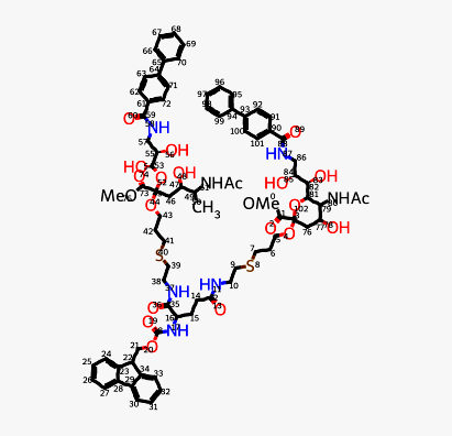 COC(=O)C1(OCCCSCCNC(=O)CCC(NC(=O)OCC2c3ccccc3-c3ccccc32)C(=O)NCCSCCCOC(CC(O)C(C)NC(C)=O)(O[C@H](O)[C@H](O)CNC(=O)c2ccc(-c3ccccc3)cc2)C(=O)OC)CC(O)C(NC(C)=O)C([C@H](O)[C@H](O)CNC(=O)c2ccc(-c3ccccc3)cc2)O1